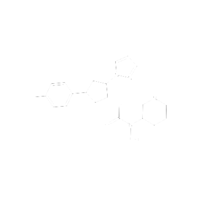 CC(C)(C)N(C(=O)O[C@@H]1CC(c2ccc(F)cc2)CC1n1cccn1)C1CCCNC1